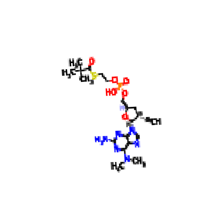 C#C[C@H]1C/C(=C\OP(=O)(O)OCCSC(=O)C(C)(C)C)O[C@H]1n1cnc2c(N(C)C)nc(N)nc21